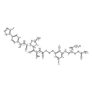 Cc1ncsc1-c1ccc([C@H](C)NC(=O)[C@@H]2C[C@@H](O)CN2C(=O)[C@@H](NC(=O)CCCc2cc(F)cc(OC[C@H](CCC(N)=O)NC(=O)O)c2Cl)C(C)(C)C)cc1